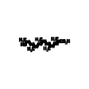 CC(=CCCC(C)=CCCC(C)O)CCC=C(C)CCC=C(C)C(=O)O